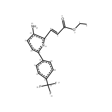 CCOC(=O)C=Cc1nc(-c2ccc(C(F)(F)F)cc2)ccc1N